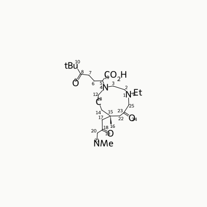 CCN1CCN(C(CCC(=O)C(C)(C)C)C(=O)O)CCC[C@@](C)(CC(=O)CNC)CC(=O)C1